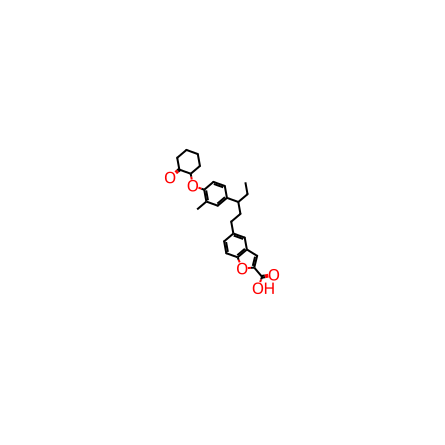 CCC(CCc1ccc2oc(C(=O)O)cc2c1)c1ccc(OC2CCCCC2=O)c(C)c1